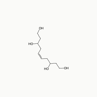 OCCC(O)C/C=C\CC(O)CCO